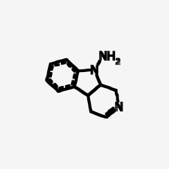 NN1c2ccccc2C2CC=NCC21